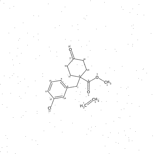 C=C.COC(=O)C1(Cc2cccc(Cl)c2)CCC(=O)CC1